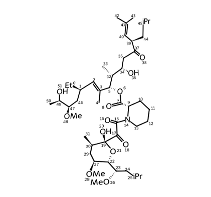 CC[C@@H](/C=C(\C)[C@@H](OC(=O)[C@@H]1CCCCN1C(=O)C(=O)[C@]1(O)O[C@H]([C@H](CC(C)C)OC)[C@@H](OC)C[C@H]1C)[C@H](C)[C@@H](O)CC(=O)[C@@H](C=C(C)C)CC(C)C)C[C@@H](OC)[C@@H](C)O